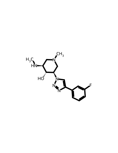 CN[C@H]1CN(C)C[C@@H](n2cc(-c3cccc(F)c3)nn2)[C@@H]1O